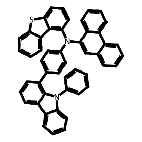 c1ccc(-n2c3ccccc3c3cccc(-c4ccc(N(c5cc6ccccc6c6ccccc56)c5cccc6sc7ccccc7c56)cc4)c32)cc1